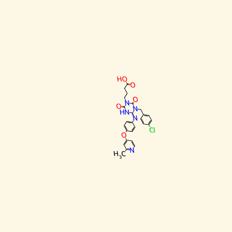 Cc1cc(Oc2ccc(/N=c3\[nH]c(=O)n(CCCC(=O)O)c(=O)n3Cc3ccc(Cl)cc3)cc2)ccn1